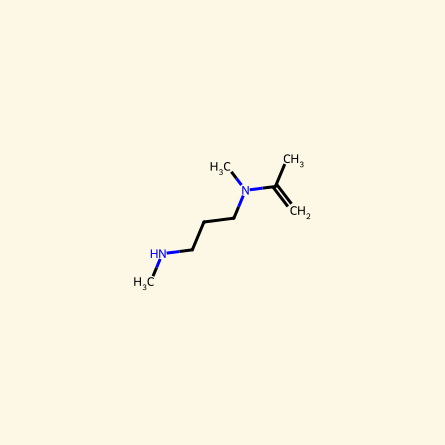 C=C(C)N(C)CCCNC